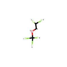 FC(F)COC(F)(F)F